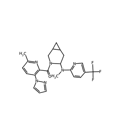 Cc1ccc(-n2cccn2)c(C(=O)N2CC3CC3CC2N(C)c2ccc(C(F)(F)F)cn2)n1